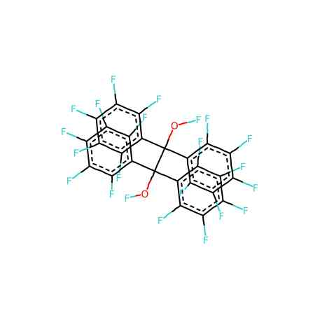 FOC(c1c(F)c(F)c(F)c(F)c1F)(c1c(F)c(F)c(F)c(F)c1F)C(OF)(c1c(F)c(F)c(F)c(F)c1F)c1c(F)c(F)c(F)c(F)c1F